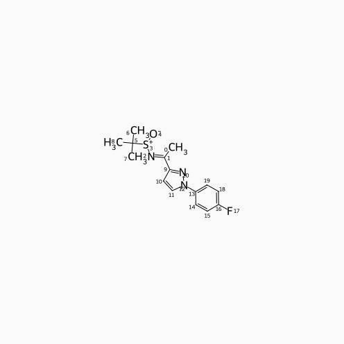 CC(=N[S+]([O-])C(C)(C)C)c1ccn(-c2ccc(F)cc2)n1